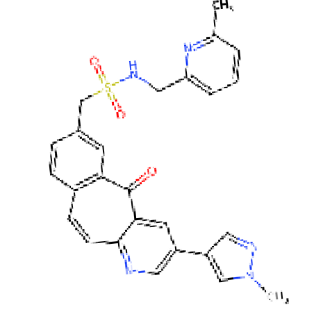 Cc1cccc(CNS(=O)(=O)Cc2ccc3ccc4ncc(-c5cnn(C)c5)cc4c(=O)c3c2)n1